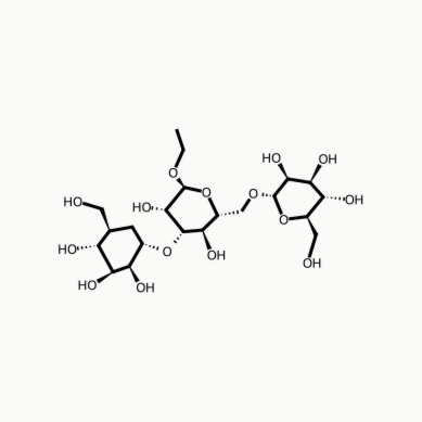 CCO[C@H]1O[C@H](CO[C@H]2O[C@H](CO)[C@@H](O)[C@H](O)[C@@H]2O)[C@@H](O)[C@H](O[C@H]2C[C@H](CO)[C@@H](O)[C@H](O)[C@@H]2O)[C@@H]1O